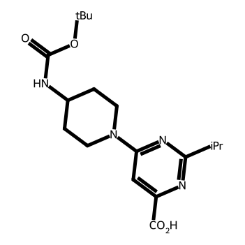 CC(C)c1nc(C(=O)O)cc(N2CCC(NC(=O)OC(C)(C)C)CC2)n1